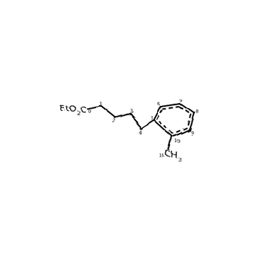 CCOC(=O)CCCCc1ccccc1C